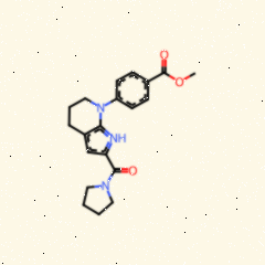 COC(=O)c1ccc(N2CCCc3cc(C(=O)N4CCCC4)[nH]c32)cc1